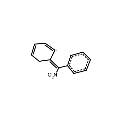 O=[N+]([O-])C(=C1[C]=CC=CC1)c1ccccc1